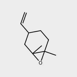 C=CC1CCC2(C)OC2(C)C1